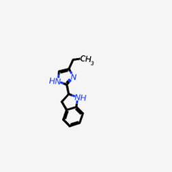 CCc1c[nH]c(C2Cc3ccccc3N2)n1